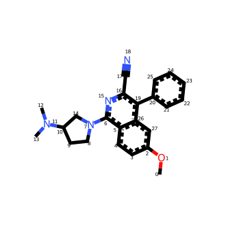 COc1ccc2c(N3CCC(N(C)C)C3)nc(C#N)c(-c3ccccc3)c2c1